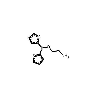 NCCOB(c1cccs1)c1cccs1